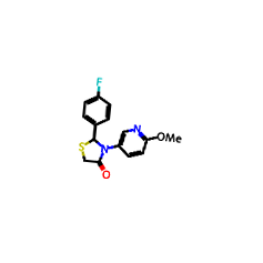 COc1ccc(N2C(=O)CSC2c2ccc(F)cc2)cn1